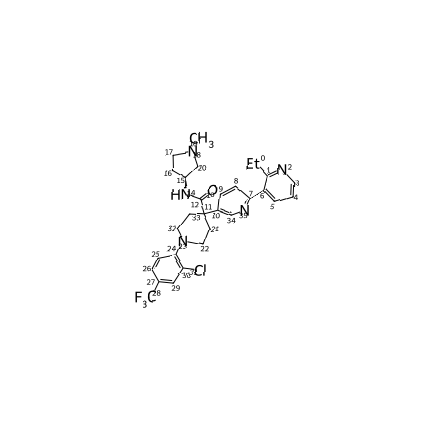 CCc1ncccc1-c1ccc(C2(C(=O)N[C@H]3CCN(C)C3)CCN(c3ccc(C(F)(F)F)cc3Cl)CC2)cn1